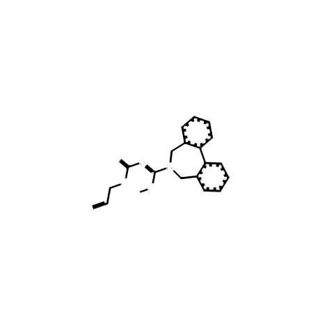 C=CCOC(=O)N=C(OCC)N1Cc2ccccc2-c2ccccc2C1